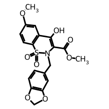 COC(=O)C1=C(O)c2cc(OC)ccc2S(=O)(=O)N1Cc1ccc2c(c1)OCO2